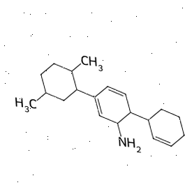 CC1CCC(C)C(C2=CC(N)C(C3C=CCCC3)C=C2)C1